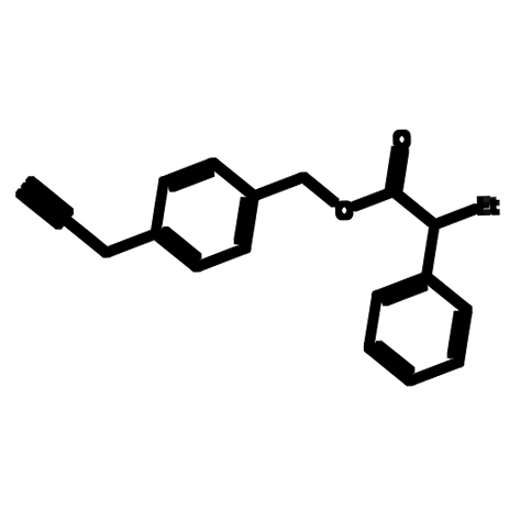 C#CCc1ccc(COC(=O)C(CC)c2ccccc2)cc1